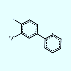 Fc1ccc(-c2cccnn2)cc1C(F)(F)F